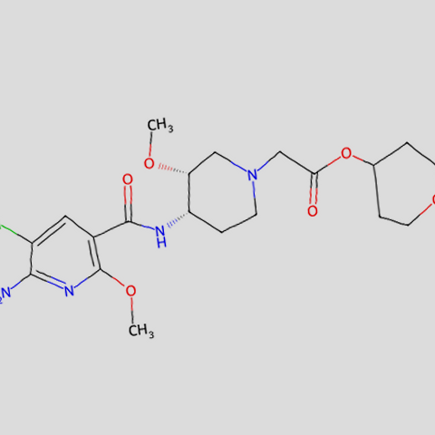 COc1nc(N)c(Cl)cc1C(=O)N[C@H]1CCN(CC(=O)OC2CCOCC2)C[C@H]1OC